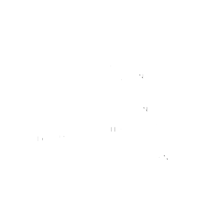 CCOc1cccc(-c2c(O)n(CCC#N)c3cccc[n+]3c2=O)c1